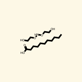 CCCCCCCCCCC(=O)O.OCCONOCCO